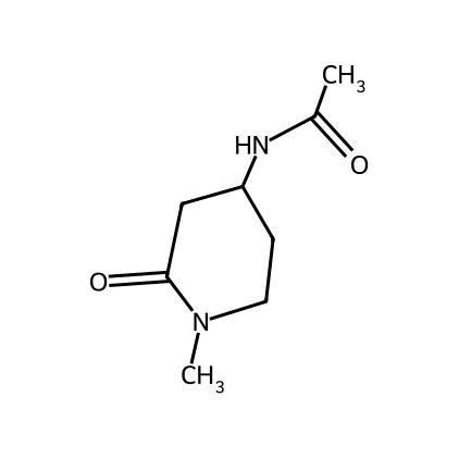 CC(=O)NC1CCN(C)C(=O)C1